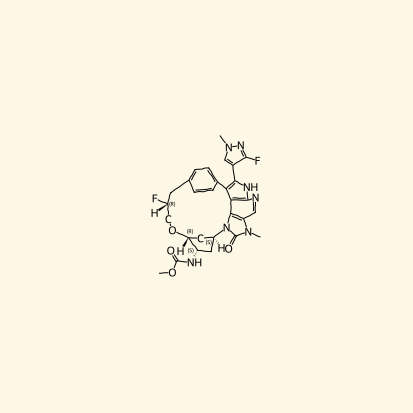 COC(=O)N[C@H]1C[C@H]2C[C@H]1OC[C@H](F)Cc1ccc(cc1)-c1c(-c3cn(C)nc3F)[nH]c3ncc4c(c13)n2c(=O)n4C